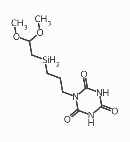 COC(C[SiH2]CCCn1c(=O)[nH]c(=O)[nH]c1=O)OC